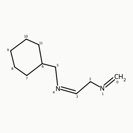 C=NC/C=N\CC1CCCCC1